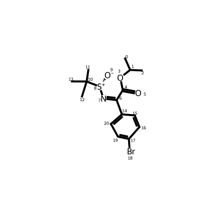 CC(C)OC(=O)C(=N[S@@+]([O-])C(C)(C)C)c1ccc(Br)cc1